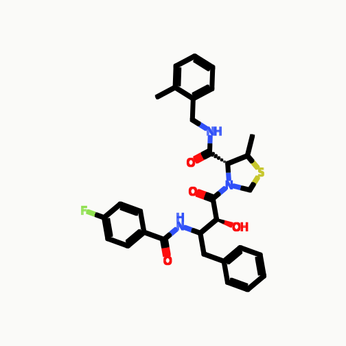 Cc1ccccc1CNC(=O)[C@@H]1C(C)SCN1C(=O)[C@@H](O)C(Cc1ccccc1)NC(=O)c1ccc(F)cc1